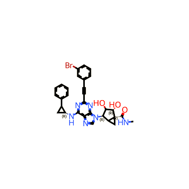 CNC(=O)[C@]12CC1[C@@H](n1cnc3c(N[C@@H]4CC4c4ccccc4)nc(C#Cc4cccc(Br)c4)nc31)C(O)[C@@H]2O